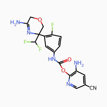 N#Cc1cnc(OC(=O)Nc2ccc(F)c(C3(C(F)F)COCC(N)=N3)c2)c(N)c1